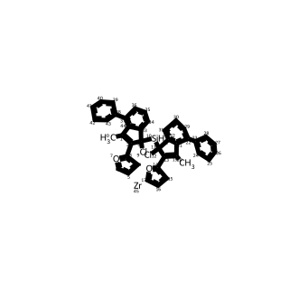 CC1=C(c2ccco2)C(Cl)([SiH2]C2(Cl)C(c3ccco3)=C(C)c3c(-c4ccccc4)cccc32)c2cccc(-c3ccccc3)c21.[Zr]